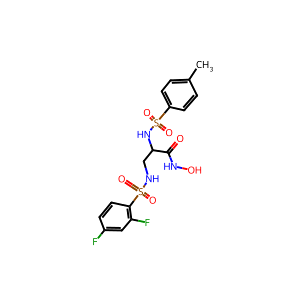 Cc1ccc(S(=O)(=O)NC(CNS(=O)(=O)c2ccc(F)cc2F)C(=O)NO)cc1